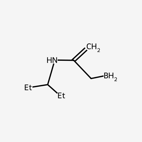 BCC(=C)NC(CC)CC